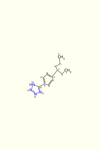 CCCC(CC)c1ccc(-c2nnn[nH]2)cc1